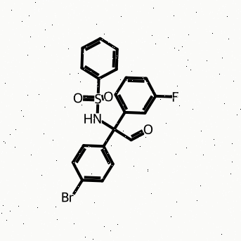 O=CC(NS(=O)(=O)c1ccccc1)(c1ccc(Br)cc1)c1cccc(F)c1